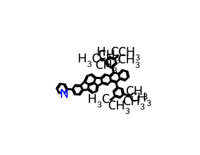 CC(C)c1cc(-c2c3ccccc3c(-c3cc(C(C)(C)C)cc(C(C)(C)C)c3)c3cc4c(cc23)-c2ccc3c5c(ccc-4c25)-c2cc(-c4ccccn4)ccc2-3)cc(C(C)(C)C)c1